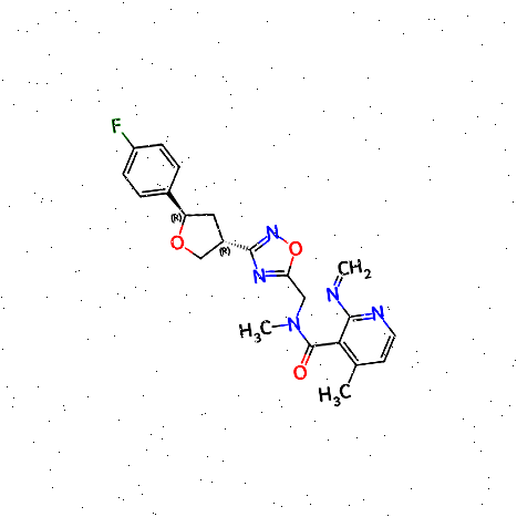 C=Nc1nccc(C)c1C(=O)N(C)Cc1nc([C@@H]2CO[C@@H](c3ccc(F)cc3)C2)no1